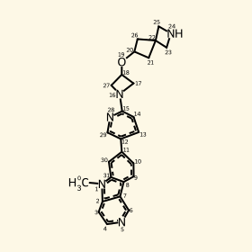 Cn1c2ccncc2c2ccc(-c3ccc(N4CC(OC5CC6(CNC6)C5)C4)nc3)cc21